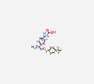 CC(=NOCc1ccc(C(F)(F)F)cc1)c1ccc(NCC(=O)O)nc1